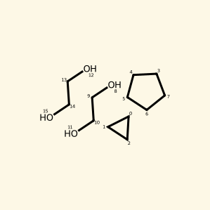 C1CC1.C1CCCC1.OCCO.OCCO